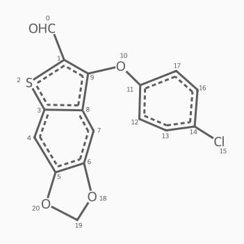 O=Cc1sc2cc3c(cc2c1Oc1ccc(Cl)cc1)OCO3